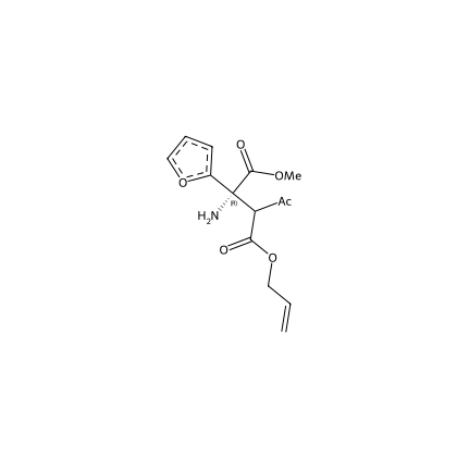 C=CCOC(=O)C(C(C)=O)[C@](N)(C(=O)OC)c1ccco1